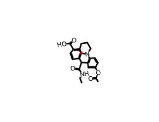 CCNC(=O)C(c1ccc(C(=O)O)cc1)c1cc(OC(C)=O)ccc1N1CCCCC1